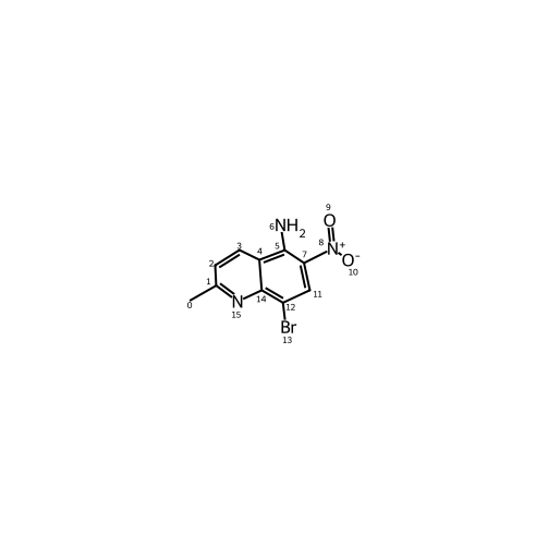 Cc1ccc2c(N)c([N+](=O)[O-])cc(Br)c2n1